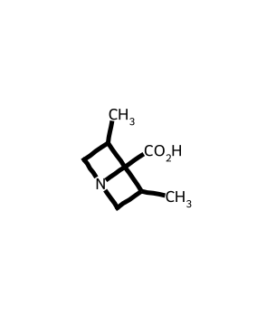 CC1CN2CC(C)C12C(=O)O